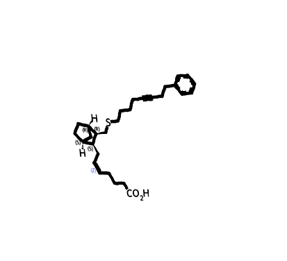 O=C(O)CCC/C=C\C[C@H]1[C@H]2CC[C@H](C2)[C@H]1CSCCCCC#CCCc1ccccc1